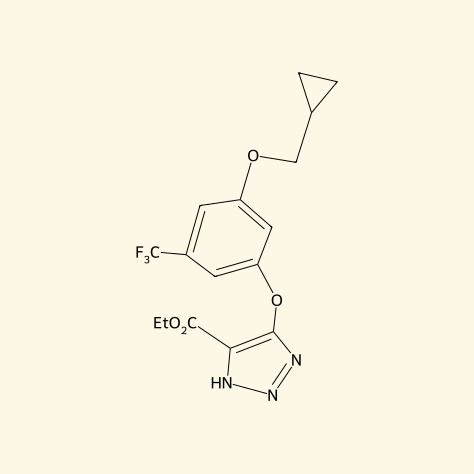 CCOC(=O)c1[nH]nnc1Oc1cc(OCC2CC2)cc(C(F)(F)F)c1